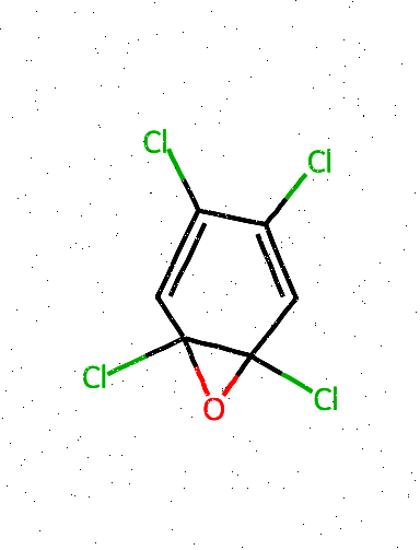 ClC1=CC2(Cl)OC2(Cl)C=C1Cl